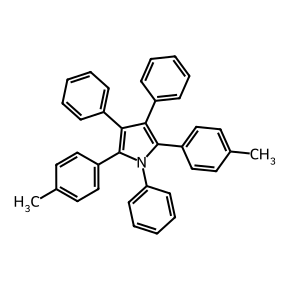 Cc1ccc(-c2c(-c3ccccc3)c(-c3ccccc3)c(-c3ccc(C)cc3)n2-c2ccccc2)cc1